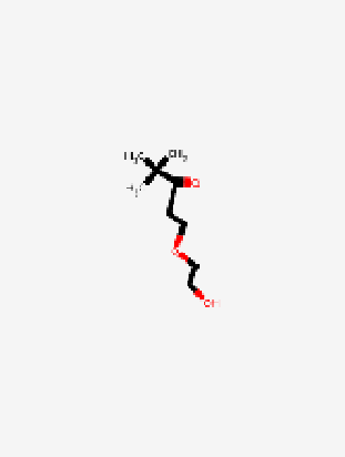 CC(C)(C)C(=O)CCOCCO